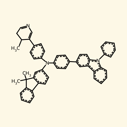 CC1CC=NC=C1c1ccc(N(c2ccc(-c3ccc4c(c3)c3ccccc3n4-c3ccccc3)cc2)c2ccc3c(c2)C(C)(C)c2ccccc2-3)cc1